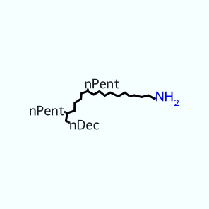 CCCCCCCCCCCC(CCCCC)CCCCC(CCCCC)CCCCCCCCCCCN